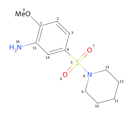 COc1ccc(S(=O)(=O)N2CCCCC2)cc1N